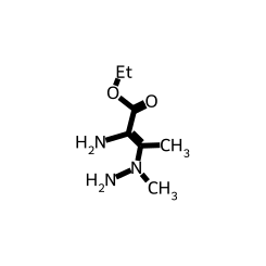 CCOC(=O)/C(N)=C(\C)N(C)N